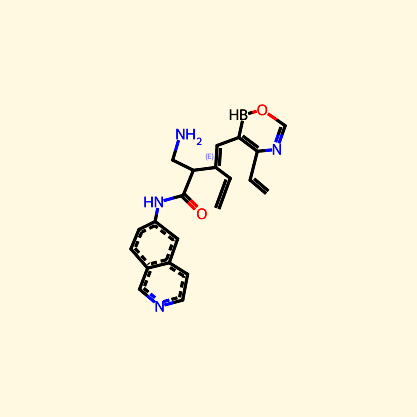 C=CC1=C(/C=C(\C=C)C(CN)C(=O)Nc2ccc3cnccc3c2)BOC=N1